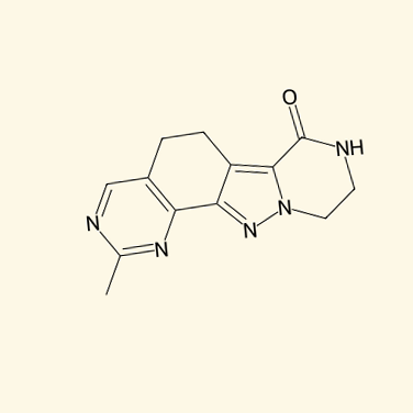 Cc1ncc2c(n1)-c1nn3c(c1CC2)C(=O)NCC3